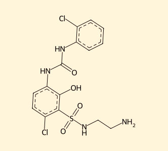 NCCNS(=O)(=O)c1c(Cl)ccc(NC(=O)Nc2ccccc2Cl)c1O